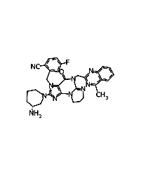 Cc1nc(CN2C(=O)c3c(nc(N4CCC[C@@H](N)C4)n3Cc3cc(F)ccc3C#N)N3CCCN=C23)nc2ccccc12